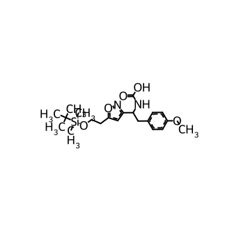 COc1ccc(CC(NC(=O)O)c2cc(CCO[Si](C)(C)C(C)(C)C)on2)cc1